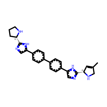 CC1=C[C@@H](c2ncc(-c3ccc(-c4ccc(-c5cnc([C@@H]6CCCN6)[nH]5)cc4)cc3)[nH]2)NC1